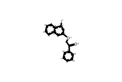 O=C(COc1cc(I)c2ccccc2c1)c1ccccc1